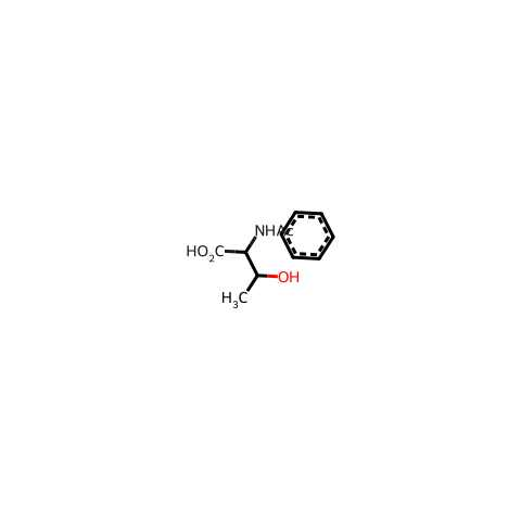 CC(=O)NC(C(=O)O)C(C)O.c1ccccc1